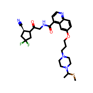 CSC(C)N1CCN(CCCOc2ccc3nccc(C(=O)NCC(=O)C4CC(F)(F)C[C@H]4C#N)c3c2)CC1